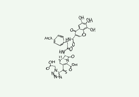 O=C(O)Cn1nnnc1C(=S)C1=C(C(=O)O)N2C(=O)[C@@H](NC(=O)C(NC(=O)c3coc4c(O)c(O)c(O)cc4c3=O)c3ccc(O)cc3)[C@@H]2SC1